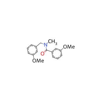 COc1cccc(CN(C)C(=O)c2cccc(OC)c2)c1